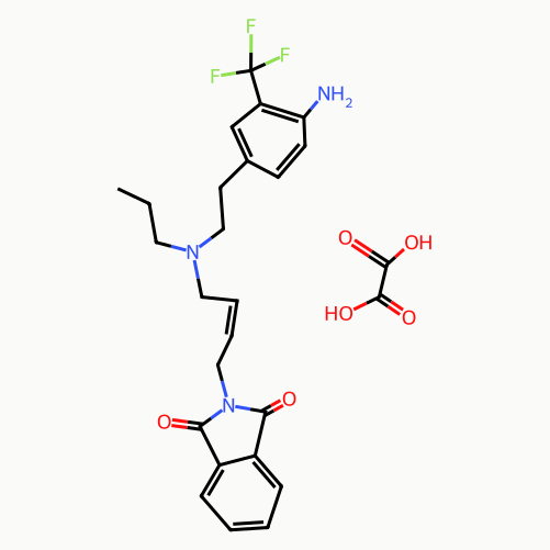 CCCN(C/C=C\CN1C(=O)c2ccccc2C1=O)CCc1ccc(N)c(C(F)(F)F)c1.O=C(O)C(=O)O